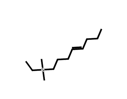 CCCC=CCCC[Si](C)(C)CC